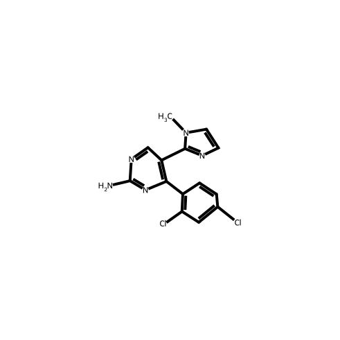 Cn1ccnc1-c1cnc(N)nc1-c1ccc(Cl)cc1Cl